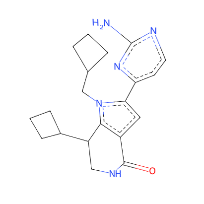 Nc1nccc(-c2cc3c(n2CC2CCC2)C(C2CCC2)CNC3=O)n1